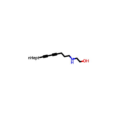 CCCCCCCC#CC#CCCCNCCO